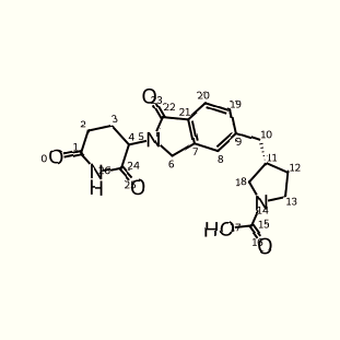 O=C1CCC(N2Cc3cc(C[C@@H]4CCN(C(=O)O)C4)ccc3C2=O)C(=O)N1